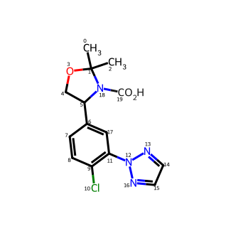 CC1(C)OCC(c2ccc(Cl)c(-n3nccn3)c2)N1C(=O)O